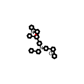 c1ccc(-c2cccc(N(c3ccc(-c4cccc(-c5ccccc5-n5c6ccccc6c6ccccc65)c4)cc3)c3ccc(-c4cccc5c4oc4ccccc45)cc3)c2)cc1